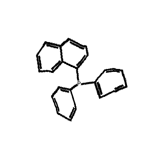 c1ccc(P(c2ccccc2)c2cccc3ccccc23)cc1